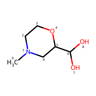 CN1CCOC(C(O)O)C1